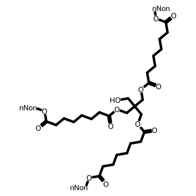 CCCCCCCCCOC(=O)CCCCCCC(=O)OCC(CO)(COC(=O)CCCCCCC(=O)OCCCCCCCCC)COC(=O)CCCCCCC(=O)OCCCCCCCCC